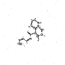 C=C(/C=C\C=C/N)c1c(C)ccc2ccccc12